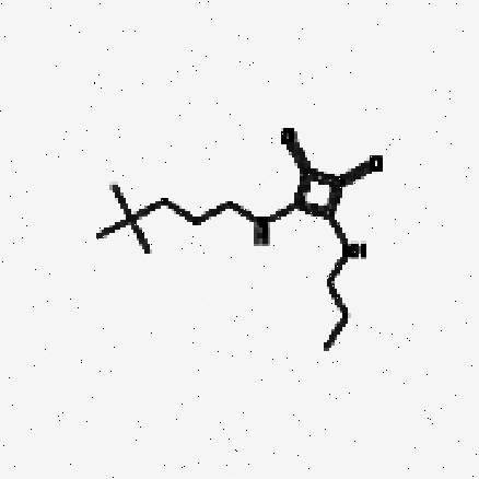 CCCNc1c(NCCCC(C)(C)C)c(=O)c1=O